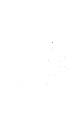 CC[C@@H]1C2C[C@H](O)CCC2(C)[C@H]2CCC3(C)[C@@H]([C@H](C)CCOC(=O)NCCC4CC4)CC[C@H]3C2[C@@H]1O